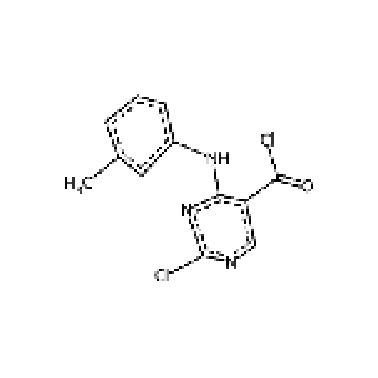 Cc1cccc(Nc2nc(Cl)ncc2C(=O)Cl)c1